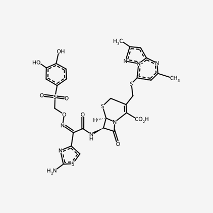 Cc1cc(SCC2=C(C(=O)O)N3C(=O)[C@@H](NC(=O)/C(=N\OCS(=O)(=O)c4ccc(O)c(O)c4)c4csc(N)n4)[C@H]3SC2)n2nc(C)cc2n1